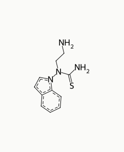 NCCN(C(N)=S)n1ccc2ccccc21